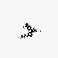 NC(=O)c1ccc(-n2nc(C(F)(F)F)cc2-c2ccc(CCCCBr)cc2)cc1